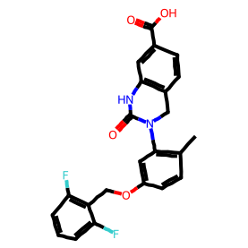 Cc1ccc(OCc2c(F)cccc2F)cc1N1Cc2ccc(C(=O)O)cc2NC1=O